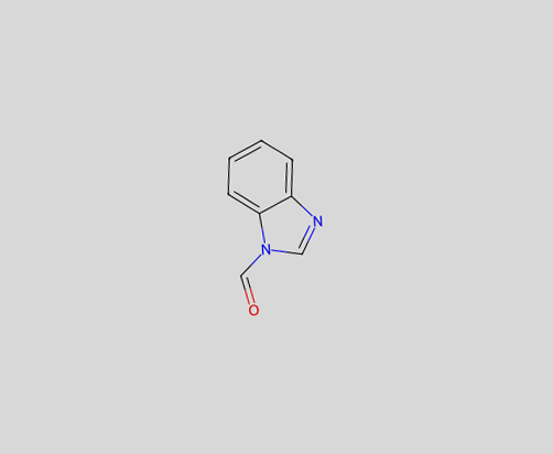 O=Cn1cnc2ccccc21